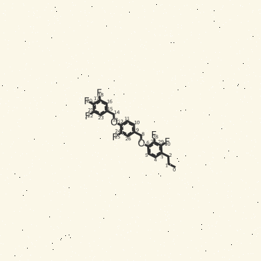 CCCc1ccc(OCc2ccc(OCc3cc(F)c(F)c(F)c3)c(F)c2)c(F)c1F